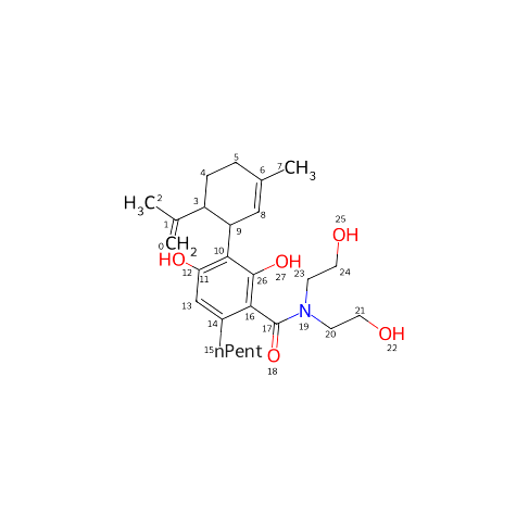 C=C(C)C1CCC(C)=CC1c1c(O)cc(CCCCC)c(C(=O)N(CCO)CCO)c1O